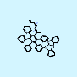 C=C/C=C\C=C(/C)c1c(-c2ccccc2)c(-c2cccc(-n3c4ccccc4n4c5ccccc5nc34)c2)c(-c2ccccc2)c(-c2ccccc2)c1-c1ccccn1